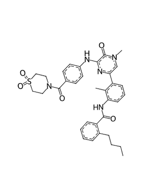 CCCCc1ccccc1C(=O)Nc1cccc(-c2cn(C)c(=O)c(Nc3ccc(C(=O)N4CCS(=O)(=O)CC4)cc3)n2)c1C